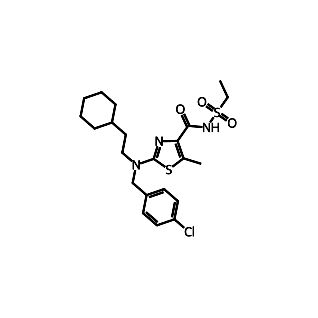 CCS(=O)(=O)NC(=O)c1nc(N(CCC2CCCCC2)Cc2ccc(Cl)cc2)sc1C